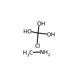 CN.OC(O)(O)Cl